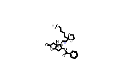 CCCCCC1(/C=C/[C@H]2C(OC(=O)c3ccccc3)CC3OC(=O)C[C@@H]32)OCCO1